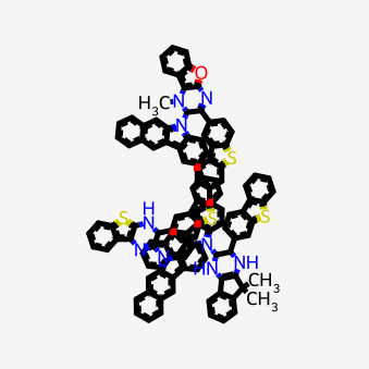 CN1c2c(oc3ccccc23)N=C(c2ccc3sc4cc(-c5ccc6c(c5)c5cc7ccccc7cc5n6C5NC6=C(NC5c5ccc7c(c5)sc5ccccc57)C(C)(C)c5ccccc56)ccc4c3c2)C1n1c2ccc(-c3ccc4sc5ccc(C6Nc7sc8ccccc8c7N=C6n6c7ccccc7c7cc8ccccc8cc76)cc5c4c3)cc2c2cc3ccccc3cc21